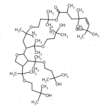 CC(CC(C)(C)/C=C\C(C)(C)C(C)(C)C)C(=O)OC(C)(C)CCOC(C)(C)CC(C1OCC(C(C)(C)OCCC(C)(C)O)C1C(C)(C)OCCC(C)(C)O)C(C)(C)OCCC(C)(C)O